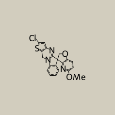 COc1ccc2c(n1)C1(CO2)C2=Nc3cc(Cl)sc3CN2c2ccccc21